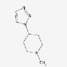 CN1CCC(n2ccnn2)CC1